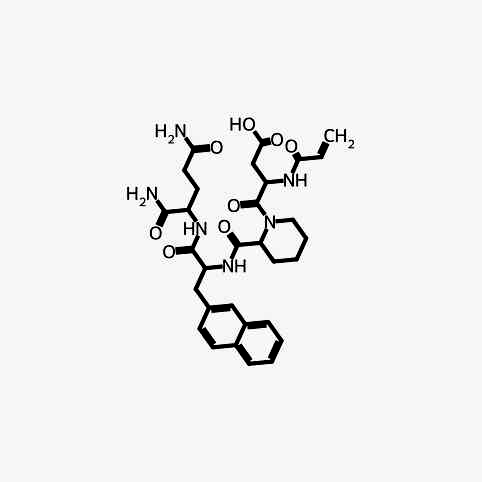 C=CC(=O)NC(CC(=O)O)C(=O)N1CCCCC1C(=O)NC(Cc1ccc2ccccc2c1)C(=O)NC(CCC(N)=O)C(N)=O